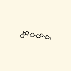 Ic1ccc(-c2ccc3cc(-c4ccc(-c5ccc6sc7ccccc7c6c5)nc4)ccc3c2)cc1